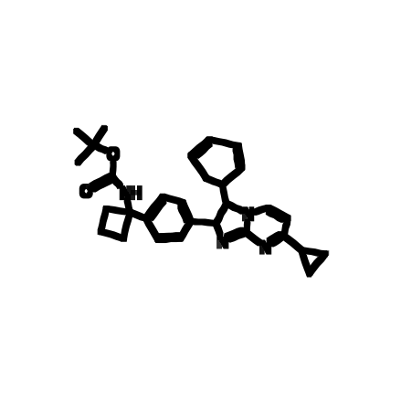 CC(C)(C)OC(=O)NC1(c2ccc(C3N=C4N=C(C5CC5)C=CN4C3C3C=CC=CC3)cc2)CCC1